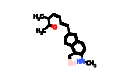 B=Cc1c(NC)ccc2cc(/C=C/C=C\C(C)C(C)=O)ccc12